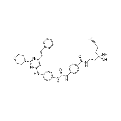 C#CCCC1(CCNC(=O)c2ccc(NC(=O)Nc3ccc(Nc4nc(/C=C/c5ccccc5)nc(N5CCOCC5)n4)cc3)cc2)NN1